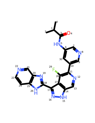 CC(C)C(=O)Nc1cncc(-c2ncc3[nH]nc(-c4nc5cnccc5[nH]4)c3c2F)c1